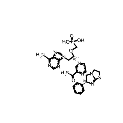 C[C@H](Cn1cnc2c(N)ncnc21)OCP(=O)(O)O.NC(=O)c1cnccn1.c1ccc([C@@H]2CN3CCSC3=N2)cc1